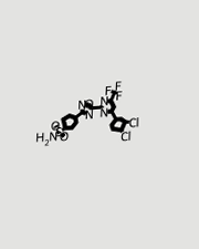 NS(=O)(=O)c1ccc(-c2noc(-c3nc(-c4ccc(Cl)c(Cl)c4)cc(C(F)(F)F)n3)n2)cc1